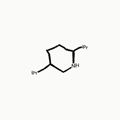 CC(C)C1CCC(C(C)C)NC1